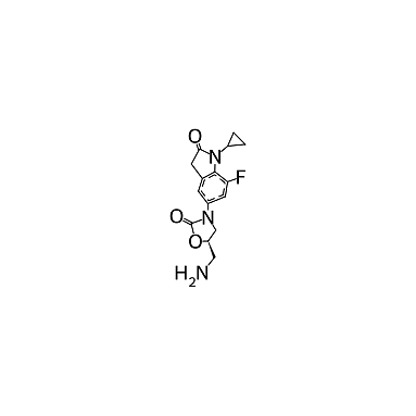 NC[C@@H]1CN(c2cc(F)c3c(c2)CC(=O)N3C2CC2)C(=O)O1